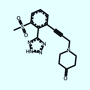 CS(=O)(=O)c1cccc(C#CCN2CCC(=O)CC2)c1-c1nn[nH]n1